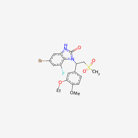 CCOc1cc(C(CS(C)(=O)=O)n2c(=O)[nH]c3cc(Br)cc(F)c32)ccc1OC